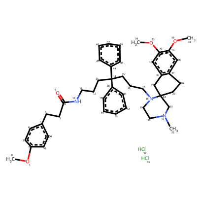 COc1ccc(CCC(=O)NCCCC(CCCN2CCN(C)CC23CCc2cc(OC)c(OC)cc2C3)(c2ccccc2)c2ccccc2)cc1.Cl.Cl